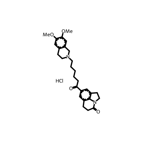 COc1cc2c(cc1OC)CN(CCCCCC(=O)c1cc3c4c(c1)CCN4C(=O)CC3)CC2.Cl